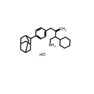 C=C(Cc1ccc(C2C3CC4CC(C3)CC2C4)cc1)C(CN)C1CCCCC1.Cl